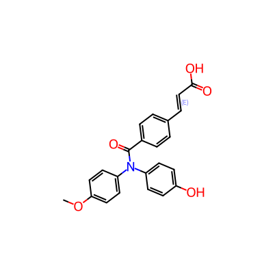 COc1ccc(N(C(=O)c2ccc(/C=C/C(=O)O)cc2)c2ccc(O)cc2)cc1